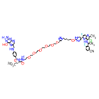 Cc1nc2cc(F)c(-c3cnc(OCCCCCn4cc(COCCOCCOCCOCCOCCOCCNC(=O)[C@H](CCC(=O)O)NC(=O)c5ccc(NCc6cnc7nc(N)nc(O)c7n6)cc5)nn4)nc3)nc2c(N[C@@H](C)c2cc(C#N)ccc2F)c1Cl